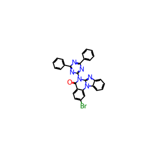 O=c1c2ccc(Br)cc2n2c3ccccc3nc2n1-c1nc(-c2ccccc2)nc(-c2ccccc2)n1